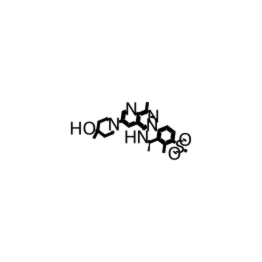 Cc1c([C@@H](C)Nc2nnc(C)c3ncc(N4CCC(C)(O)CC4)cc23)cccc1S(C)(=O)=O